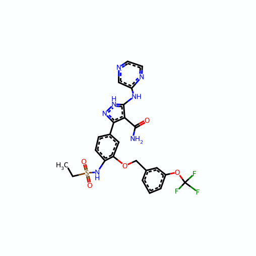 CCS(=O)(=O)Nc1ccc(-c2n[nH]c(Nc3cnccn3)c2C(N)=O)cc1OCc1cccc(OC(F)(F)F)c1